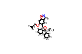 Cc1noc2cc(OCC3CC3)c(CO[Si](c3ccccc3)(c3ccccc3)C(C)(C)C)cc12